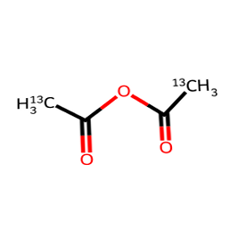 [13CH3]C(=O)OC([13CH3])=O